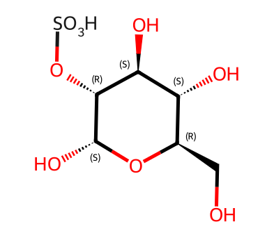 O=S(=O)(O)O[C@@H]1[C@@H](O)[C@H](O)[C@@H](CO)O[C@@H]1O